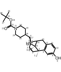 CN1CC[C@]2(C)c3cc(O)ccc3CC1[C@@H]2NCC1CCN(C(=O)OC(C)(C)C)CC1